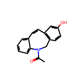 CC(=O)N1Cc2ccc(O)cc2C=Cc2ccccc21